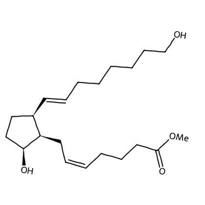 COC(=O)CCC/C=C\C[C@@H]1[C@H](C=CCCCCCCO)CC[C@@H]1O